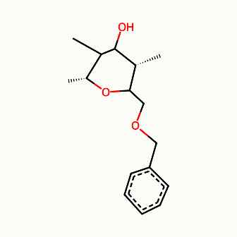 CC1C(O)[C@H](C)C(COCc2ccccc2)O[C@@H]1C